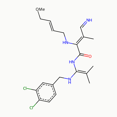 COC/C=C/CN/C(C(=O)NC(NCc1ccc(Cl)c(Cl)c1)=C(C)C)=C(/C)C=N